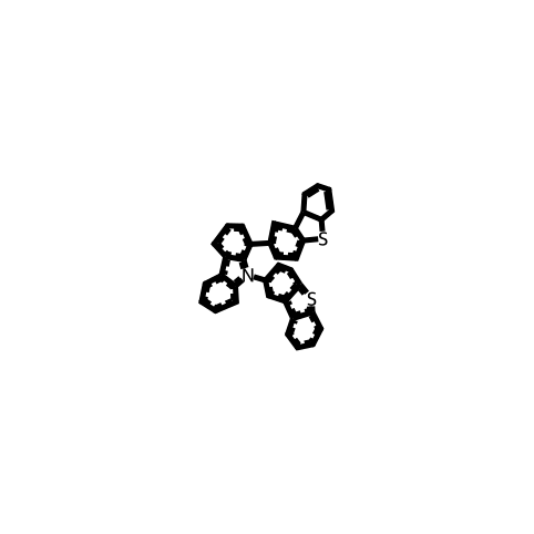 C1=CC2Sc3ccc(-c4cccc5c6ccccc6n(-c6ccc7sc8ccccc8c7c6)c45)cc3C2C=C1